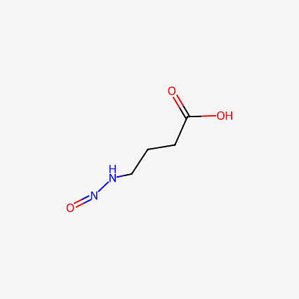 O=NNCCCC(=O)O